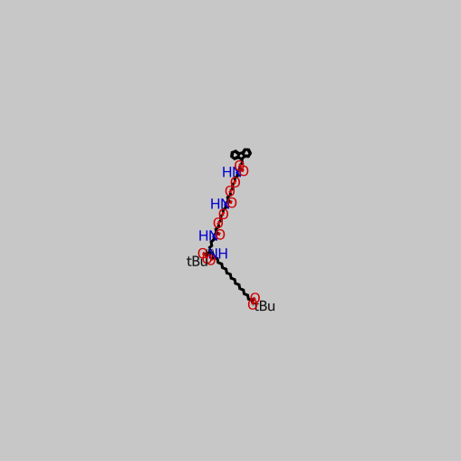 CC(C)(C)OC(=O)CCCCCCCCCCCCCCCCC(=O)N[C@@H](CCCCNC(=O)CCOCCOCCNC(=O)CCOCCOCCNC(=O)OCC1c2ccccc2-c2ccccc21)C(=O)OC(C)(C)C